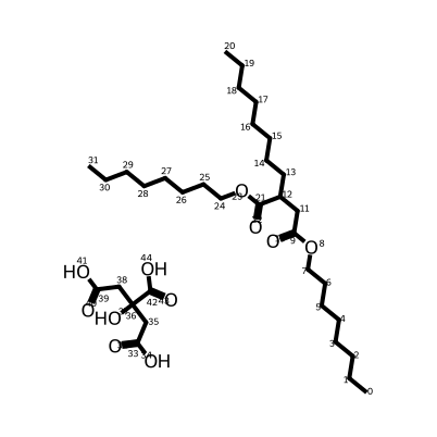 CCCCCCCCOC(=O)CC(CCCCCCCC)C(=O)OCCCCCCCC.O=C(O)CC(O)(CC(=O)O)C(=O)O